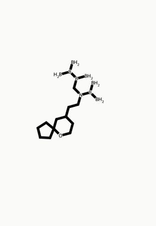 BB(B)B(B)CN(CCC1CCOC2(CCCC2)C1)B(B)B